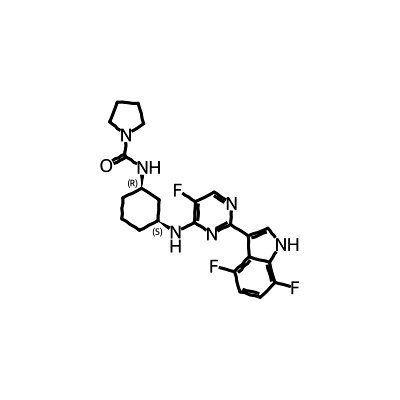 O=C(N[C@@H]1CCC[C@H](Nc2nc(-c3c[nH]c4c(F)ccc(F)c34)ncc2F)C1)N1CCCC1